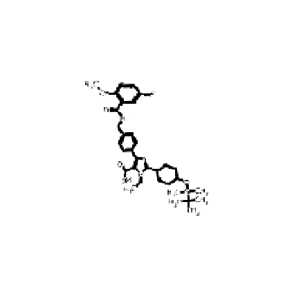 CCn1c(C2CCC(O[Si](C)(C)C(C)(C)C)CC2)nc(-c2ccc(CNC(=O)c3cc(F)ccc3OC)cc2)c1C(=O)O